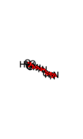 Cn1c2ccncc2c2ccc(-c3ccc(O[C@H]4C[C@H](N(C)C5CCN(CCN6CCN(c7ccc8c(c7)C(=O)N(C7CCC(=O)NC7=O)C8=O)CC6)CC5)C4)nc3)cc21